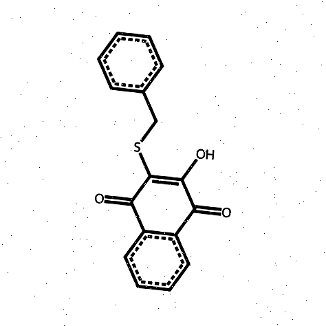 O=C1C(O)=C(SCc2ccccc2)C(=O)c2ccccc21